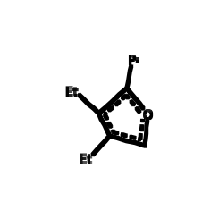 CCc1coc([P])c1CC